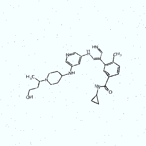 Cc1ccc(C(=O)NC2CC2)cc1/C(C=N)=C/Nc1cncc(NC2CCN(C(C)CCO)CC2)c1